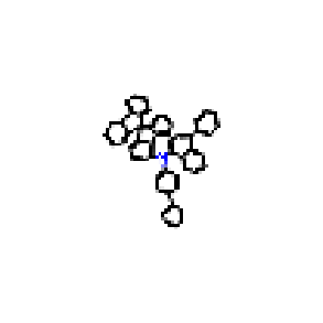 c1ccc(-c2ccc(N(c3cccc4c3-c3ccccc3C43c4ccccc4-c4ccccc43)c3ccc(-c4ccccc4)c4ccccc34)cc2)cc1